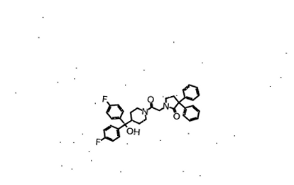 O=C(CN1CCC(c2ccccc2)(c2ccccc2)C1=O)N1CCC(C(O)(c2ccc(F)cc2)c2ccc(F)cc2)CC1